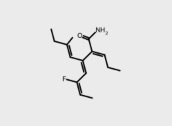 C\C=C(F)/C=C(\C=C(/C)CC)C(=C\CC)/C(N)=O